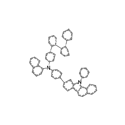 c1ccc(-c2ccccc2-c2ccccc2-c2ccc(N(c3ccc(-c4ccc5c6ccc7ccccc7c6n(-c6ccccc6)c5c4)cc3)c3cccc4ccccc34)cc2)cc1